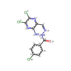 Nc1nc(Cl)c(Cl)nc1/C=N\NC(=O)c1ccc(Cl)cc1